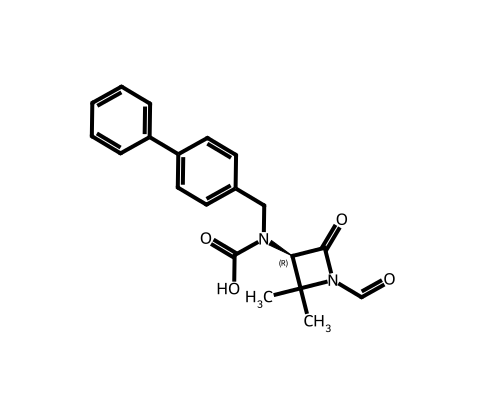 CC1(C)[C@@H](N(Cc2ccc(-c3ccccc3)cc2)C(=O)O)C(=O)N1C=O